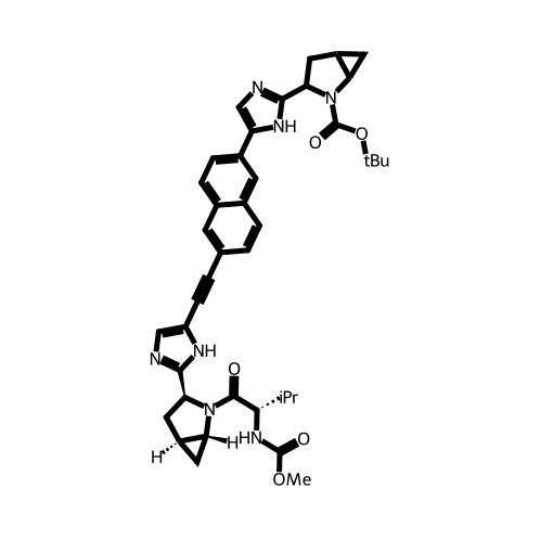 COC(=O)N[C@H](C(=O)N1[C@@H]2C[C@H]2C[C@H]1c1ncc(C#Cc2ccc3cc(-c4cnc(C5CC6CC6N5C(=O)OC(C)(C)C)[nH]4)ccc3c2)[nH]1)C(C)C